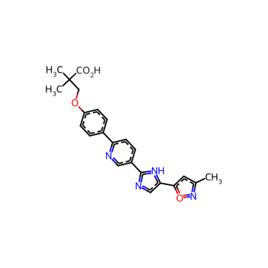 Cc1cc(-c2cnc(-c3ccc(-c4ccc(OCC(C)(C)C(=O)O)cc4)nc3)[nH]2)on1